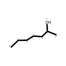 CCCC[CH]C(C)O